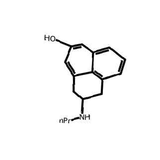 CCCNC1Cc2cccc3cc(O)cc(c23)C1